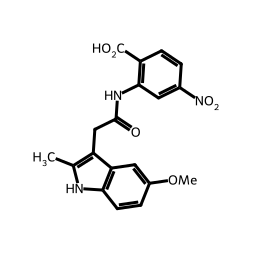 COc1ccc2[nH]c(C)c(CC(=O)Nc3cc([N+](=O)[O-])ccc3C(=O)O)c2c1